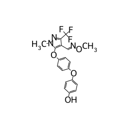 CO/N=C/c1c(C(F)(F)F)nn(C)c1Oc1ccc(Oc2ccc(O)cc2)cc1